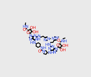 CCNC(=O)[C@H]1O[C@@H](n2cnc3c(N[C@@H]4CCN(C(=O)N[C@H]5CC[C@H](Nc6nc(NCCc7cn(C)cn7)nc7c6ncn7[C@@H]6O[C@H](C(=O)NCC)[C@@H](O)[C@H]6O)CC5)C4)nc(NCCc4cn(C)cn4)nc32)[C@H](O)[C@@H]1O